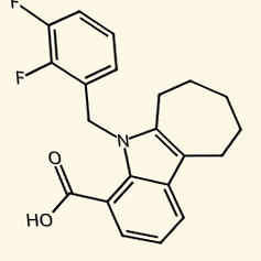 O=C(O)c1cccc2c3c(n(Cc4cccc(F)c4F)c12)CCCCC3